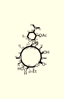 CC[C@H]1OC(=O)[C@H](C)C(O)[C@H](C)[C@@H](O[C@@H]2O[C@H](C)CC(N(C)C)[C@H]2OC(C)=O)[C@](C)(O)C[C@@H](C)CN(C)[C@H](C)[C@@H](O)[C@]1(C)O